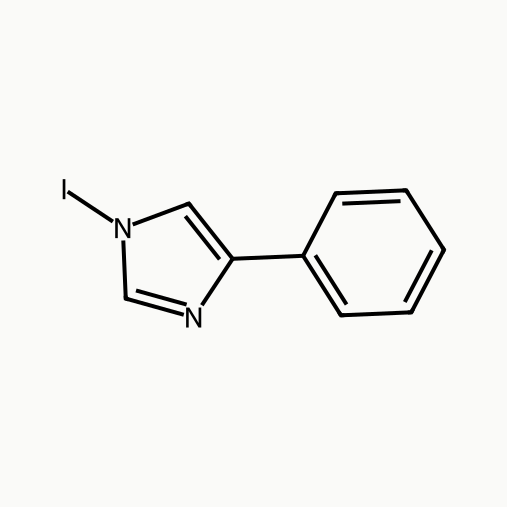 In1cnc(-c2ccccc2)c1